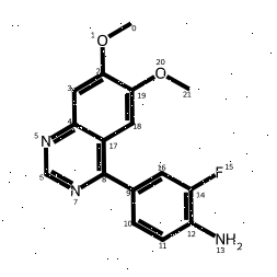 COc1cc2ncnc(-c3ccc(N)c(F)c3)c2cc1OC